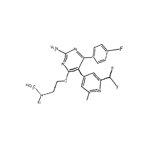 CCN(CCOc1nc(N)nc(-c2ccc(F)cc2)c1-c1cc(C)nc(C(F)F)c1)C(=O)O